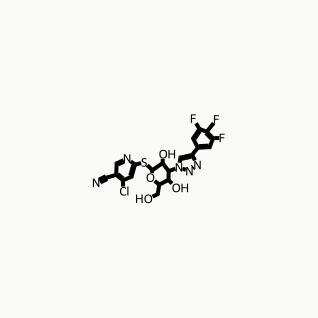 N#Cc1cnc(SC2OC(CO)C(O)C(n3cc(-c4cc(F)c(F)c(F)c4)nn3)C2O)cc1Cl